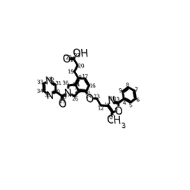 Cc1oc(-c2ccccc2)nc1CCOc1ccc(CCC(=O)O)c2c1CN(C(=O)c1cnccn1)C2